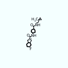 CC1(CCNC(=O)c2ccc(NC(=O)N3Cc4ccc(F)cc4C3)cc2)CC1